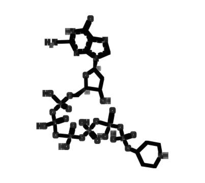 Nc1nc2c(ncn2[C@H]2CC(O)[C@@H](COP(=O)(O)OP(=O)(O)OP(=O)(O)OP(=O)(O)OP(=O)(O)OP(=O)(O)OC3CCNCC3)O2)c(=O)[nH]1